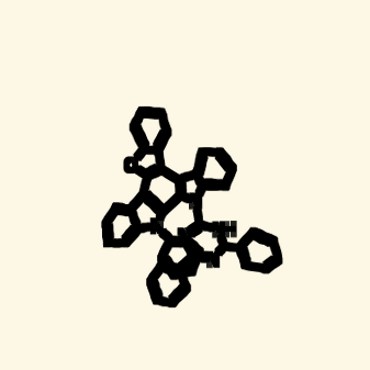 c1ccc(C2=NC(c3ccccc3)NC(n3c4ccccc4c4c5c6ccccc6oc5c5c6ccccc6n(-c6ccccc6)c5c43)=N2)cc1